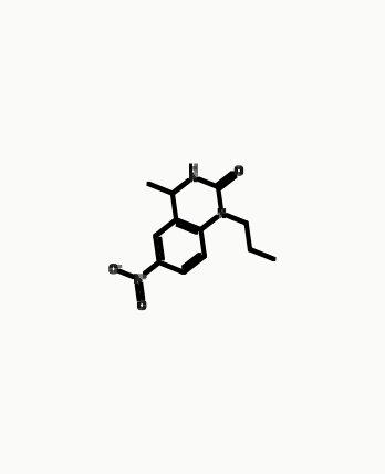 CCCN1C(=O)NC(C)c2cc([N+](=O)[O-])ccc21